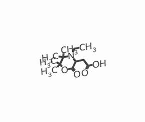 CCN1C(CC(=O)O)C(=O)OC(C)(C)C1(C)C